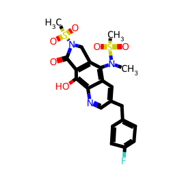 CN(c1c2c(c(O)c3ncc(Cc4ccc(F)cc4)cc13)C(=O)N(S(C)(=O)=O)C2)S(C)(=O)=O